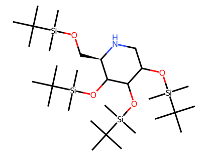 CC(C)(C)[Si](C)(C)OC[C@H]1NCC(O[Si](C)(C)C(C)(C)C)C(O[Si](C)(C)C(C)(C)C)C1O[Si](C)(C)C(C)(C)C